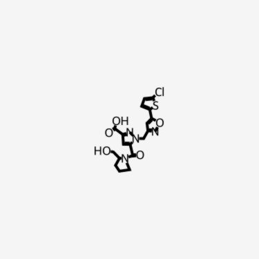 O=C(O)c1cc(C(=O)N2CCCC2CO)n(Cc2cc(-c3ccc(Cl)s3)on2)n1